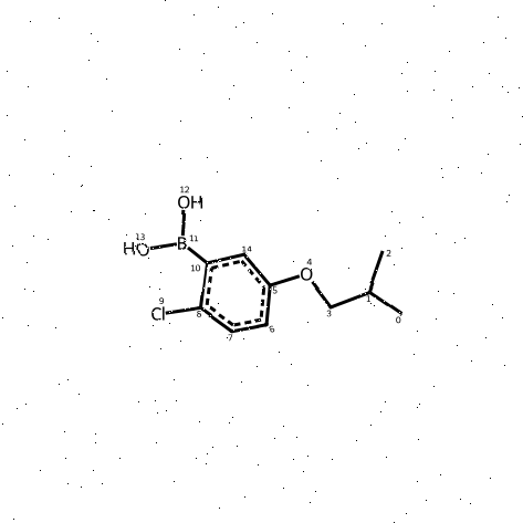 CC(C)COc1ccc(Cl)c(B(O)O)c1